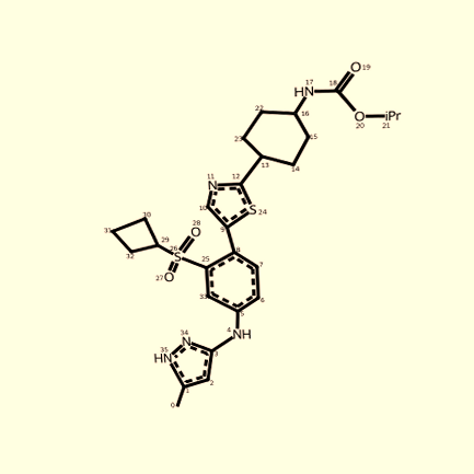 Cc1cc(Nc2ccc(-c3cnc(C4CCC(NC(=O)OC(C)C)CC4)s3)c(S(=O)(=O)C3CCC3)c2)n[nH]1